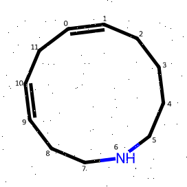 C1=CCCCCNCCC=CC1